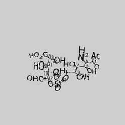 CC(=O)C(=O)[C@H](N)[C@@H](O)[C@@H](O)[C@H](O)COS(=O)(=O)O[C@@H](C=O)[C@@H](O)[C@H](O)[C@H](O)C(=O)O